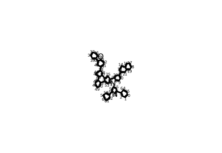 c1ccc(-c2cc(-n3c4ccc(-c5ccc6ccccc6c5)cc4c4cc5c6cc(-c7ccc8oc9ccccc9c8c7)ccc6c6ccccc6c5cc43)cc(-c3ccccc3)n2)cc1